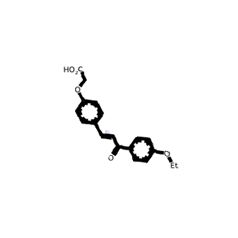 CCOc1ccc(C(=O)/C=C/c2ccc(OCC(=O)O)cc2)cc1